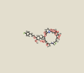 CCC1/C=C(\C)C(F)C(C)CC(OC)C2OC(O)(C(=O)C(=O)N3CCCCC3C(=O)OC(C(C)=CC3CCC(OCC=Cc4ccc(F)cc4)C(OC)C3)C(C)C(O)CC1=O)C(C)CC2OC